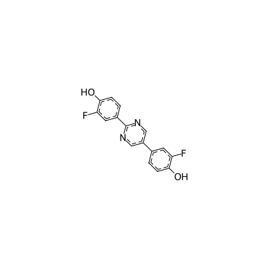 Oc1ccc(-c2cnc(-c3ccc(O)c(F)c3)nc2)cc1F